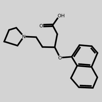 O=C(O)CC(CCN1CCCC1)Oc1cccc2c1CC=CC2